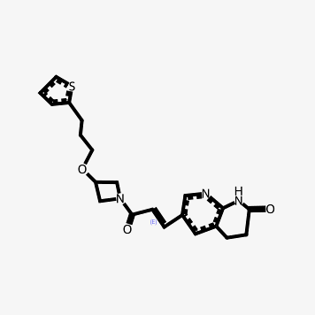 O=C1CCc2cc(/C=C/C(=O)N3CC(OCCCc4cccs4)C3)cnc2N1